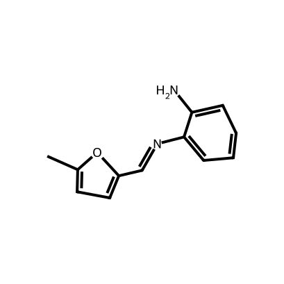 Cc1ccc(/C=N/c2ccccc2N)o1